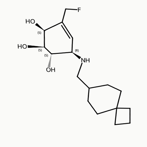 O[C@@H]1[C@@H](O)[C@@H](O)C(CF)=C[C@H]1NCC1CCC2(CCC2)CC1